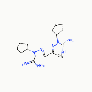 CC(C=NN(C(=N)N)C1CCCC1)=NN(C(=N)N)C1CCCC1